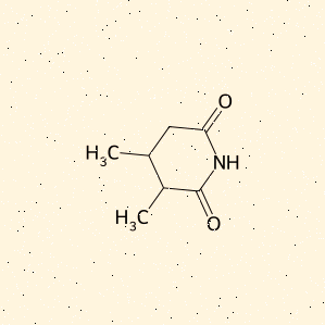 CC1CC(=O)NC(=O)C1C